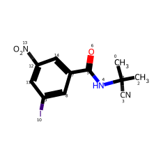 CC(C)(C#N)NC(=O)c1cc(I)cc([N+](=O)[O-])c1